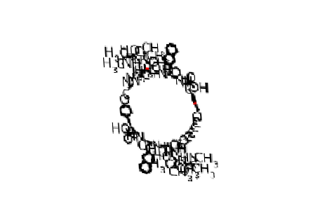 CN[C@@H](C)C(=O)N[C@H](C(=O)N1C[C@@H]2C[C@H]1C(=O)N[C@@H](Cc1ccc3ccccc3c1)C(=O)N[C@H](C(=O)O)Cc1ccc(cc1)OCc1cn(nn1)[C@H]1C[C@@H](C(=O)N[C@@H](Cc3ccc4ccccc4c3)C(=O)N[C@H](C(=O)O)Cc3ccc(cc3)OCCCCO2)N(C(=O)[C@@H](NC(=O)[C@H](C)NC)C(C)(C)C)C1)C(C)(C)C